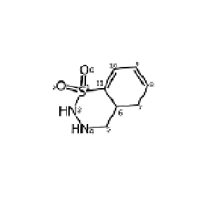 O=S1(=O)NNCC2CC=CC=C21